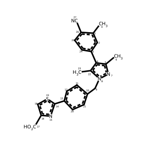 Cc1cc(-c2c(C)nn(Cc3ccc(-c4nc(C(=O)O)cs4)cc3)c2C)ccc1C#N